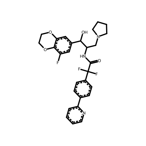 O=C(NC(CN1CCCC1)C(O)c1cc(F)c2c(c1)OCCO2)C(F)(F)c1ccc(-c2ccccn2)cc1